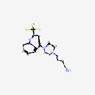 NCCCCN1CCN(c2cc(C(F)(F)F)nc3ccccc23)CC1